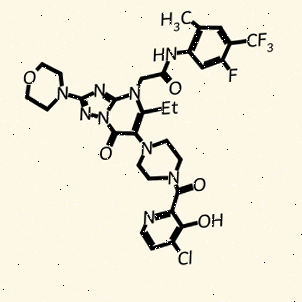 CCc1c(N2CCN(C(=O)c3nccc(Cl)c3O)CC2)c(=O)n2nc(N3CCOCC3)nc2n1CC(=O)Nc1cc(F)c(C(F)(F)F)cc1C